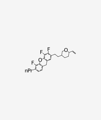 C=CC1CCC(CCc2cc3c(c(F)c2F)Oc2c(ccc(CCC)c2F)C3)CO1